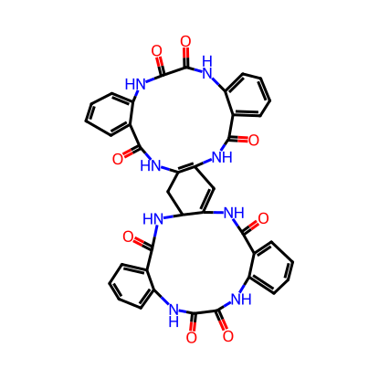 O=C1Nc2ccccc2C(=O)NC2=Cc3[nH]c(=O)c4ccccc4[nH]c(=O)c(=O)[nH]c4ccccc4c(=O)[nH]c3CC2NC(=O)c2ccccc2NC1=O